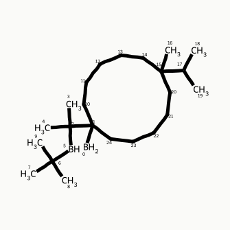 BC1(C(C)(C)BC(C)(C)C)CCCCCC(C)(C(C)C)CCCCC1